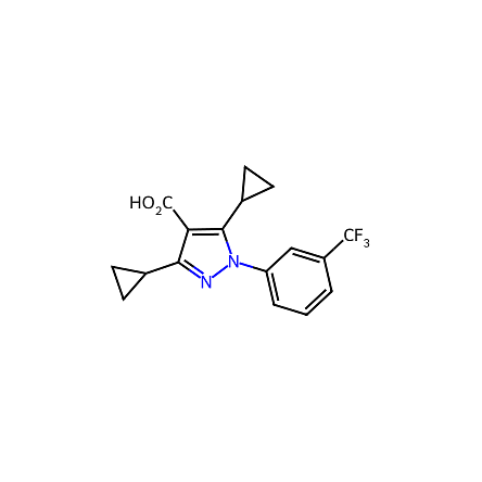 O=C(O)c1c(C2CC2)nn(-c2cccc(C(F)(F)F)c2)c1C1CC1